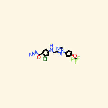 [N-]=[N+]=NC(=O)c1ccc(NCc2ncn(-c3ccc(OC(F)(F)F)cc3)n2)cc1Cl